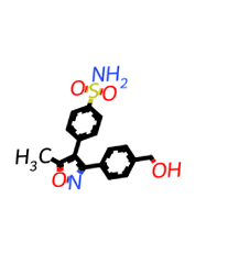 Cc1onc(-c2ccc(CO)cc2)c1-c1ccc(S(N)(=O)=O)cc1